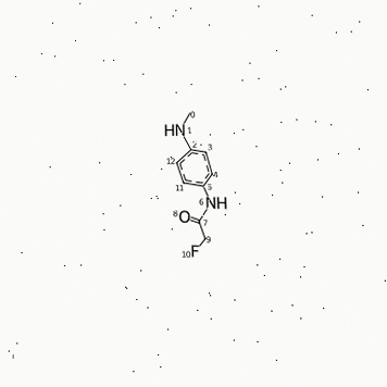 CNc1ccc(NC(=O)CF)cc1